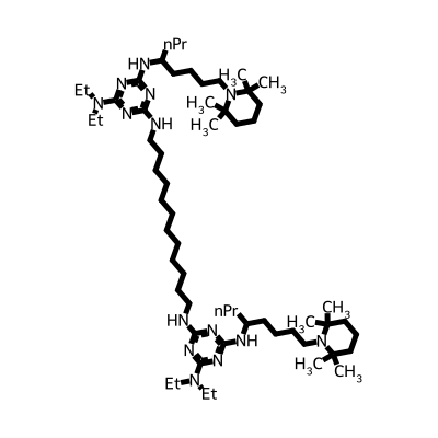 CCCC(CCCCN1C(C)(C)CCCC1(C)C)Nc1nc(NCCCCCCCCCCCCNc2nc(NC(CCC)CCCCN3C(C)(C)CCCC3(C)C)nc(N(CC)CC)n2)nc(N(CC)CC)n1